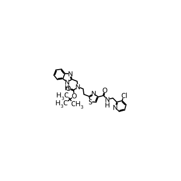 CC(C)(C)OC(=O)N(CCc1nc(C(=O)NCc2ncccc2Cl)cs1)Cc1nc2ccccc2[nH]1